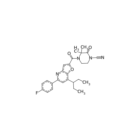 CCC(CC)c1cc(-c2ccc(F)cc2)nc2cc(C(=O)N3CCN(C#N)C(=O)C3(C)C)oc12